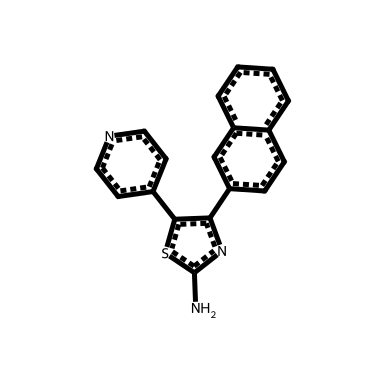 Nc1nc(-c2ccc3ccccc3c2)c(-c2ccncc2)s1